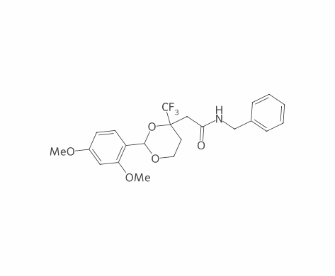 COc1ccc(C2OCCC(CC(=O)NCc3ccccc3)(C(F)(F)F)O2)c(OC)c1